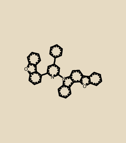 c1ccc(-c2cc(-c3cccc4oc5ccccc5c34)nc(-n3c4ccccc4c4c5oc6ccccc6c5ccc43)c2)cc1